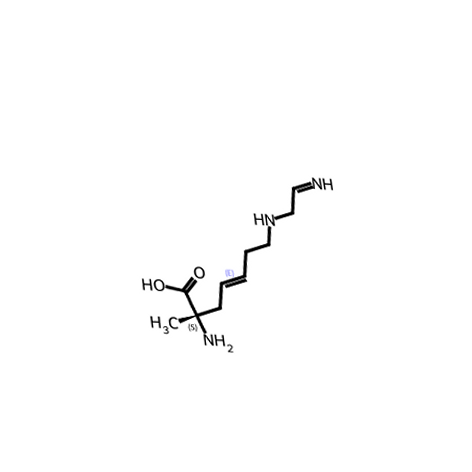 C[C@](N)(C/C=C/CCNCC=N)C(=O)O